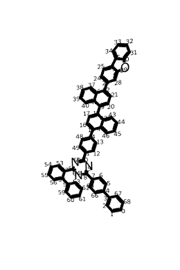 c1ccc(-c2ccc(-c3nc(-c4ccc(-c5ccc(-c6ccc(-c7ccc8c(c7)oc7ccccc78)c7ccccc67)c6ccccc56)cc4)nc(-c4ccccc4-c4ccccc4)n3)cc2)cc1